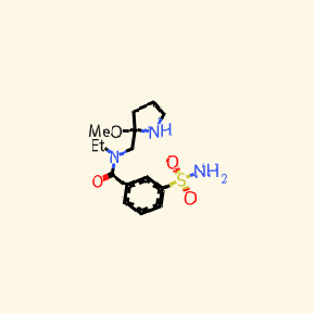 CCN(CC1(OC)CCCN1)C(=O)c1cccc(S(N)(=O)=O)c1